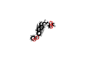 C[C@H](CC[C@H]1OC(C)(C)OC1(C)C)[C@H]1CC[C@H]2[C@@H]3CC=C4C[C@@H](OC5CCCCO5)CC[C@]4(C)[C@H]3CC[C@]12C